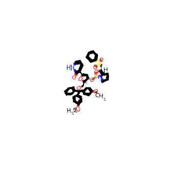 COc1ccc(C(OC[C@H]2O[C@@H](c3ccc[nH]c3=O)C[C@@H]2O[P@@]2O[C@H](CS(=O)(=O)c3ccccc3)[C@@H]3CCCN32)(c2ccccc2)c2ccc(OC)cc2)cc1